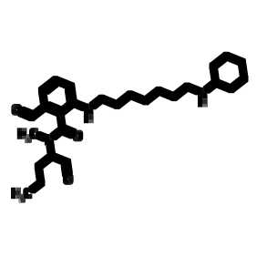 CCCC(C=O)N(C)C(=O)c1c(C=O)cccc1NCCCCCCCNC1CCCCC1